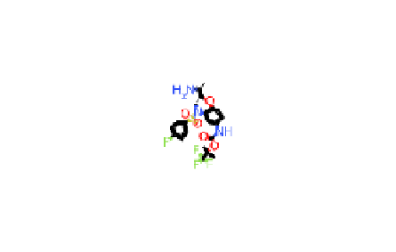 C[C@@H](N)[C@H]1CN(S(=O)(=O)c2ccc(F)cc2)c2cc(NC(=O)OC(C)(C)C(F)(F)F)ccc2O1